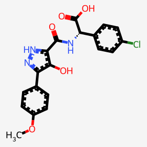 COc1ccc(-c2n[nH]c(C(=O)N[C@H](C(=O)O)c3ccc(Cl)cc3)c2O)cc1